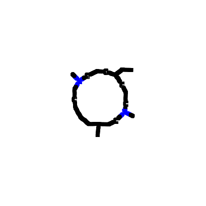 CCC1CCCN(C)CCCCCC(C)CCN(C)CCC1